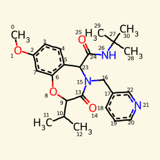 COc1ccc2c(c1)OC(C(C)C)C(=O)N(Cc1cccnc1)C2C(=O)NC(C)(C)C